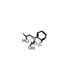 CC(O)CN(CCO)c1ccccc1C(=O)O